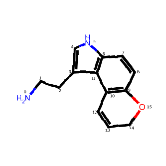 NCCc1c[nH]c2ccc3c(c12)C=CCO3